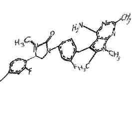 Cc1nc(N)c2c(-c3ccc(N4CC(c5ccc(F)cc5F)N(C)C4=O)cc3F)c(C)n(C)c2n1